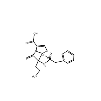 NCCC1(NC(=O)Cc2ccccc2)C(=S)N2C(C(=O)O)=CS[C@H]21